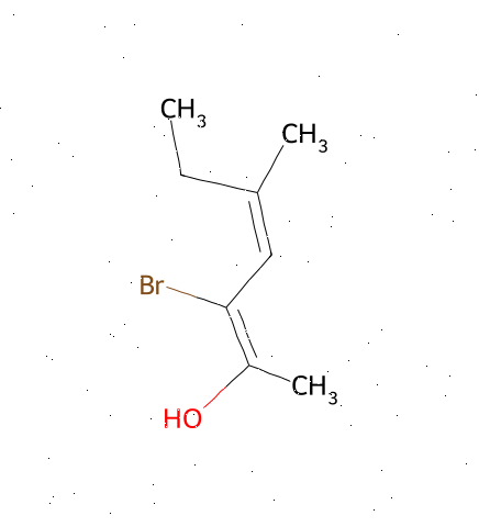 CC/C(C)=C\C(Br)=C(/C)O